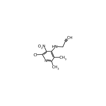 C#CCNc1c(C)c(C)nc(Cl)c1[N+](=O)[O-]